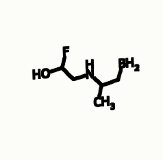 BCC(C)NCC(O)F